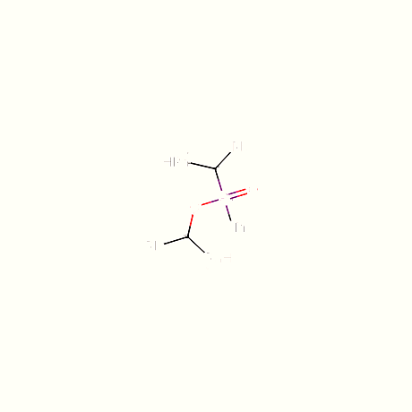 CC(C)P(=O)(O[CH]([Rb])[RaH])[CH]([Rb])[RaH]